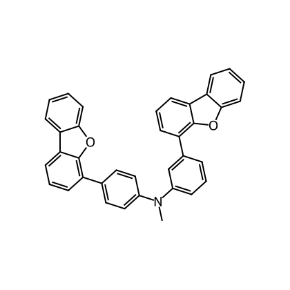 CN(c1ccc(-c2cccc3c2oc2ccccc23)cc1)c1cccc(-c2cccc3c2oc2ccccc23)c1